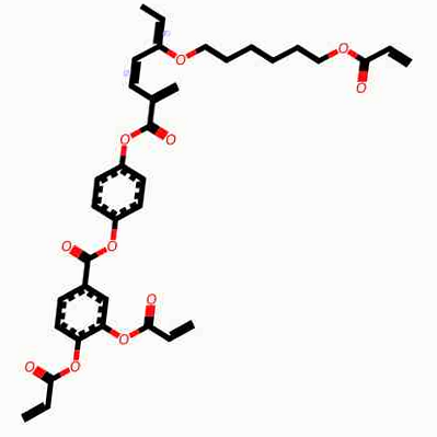 C=CC(=O)OCCCCCCOC(/C=C\C(=C)C(=O)Oc1ccc(OC(=O)c2ccc(OC(=O)C=C)c(OC(=O)C=C)c2)cc1)=C/C